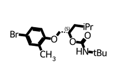 Cc1cc(Br)ccc1OC[C@H](CC(C)C)OC(=O)NC(C)(C)C